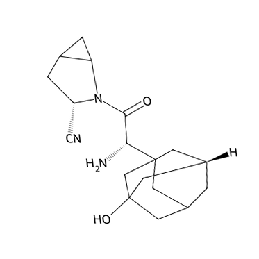 N#C[C@@H]1CC2CC2N1C(=O)[C@@H](N)C12CC3C[C@H](CC(O)(C3)C1)C2